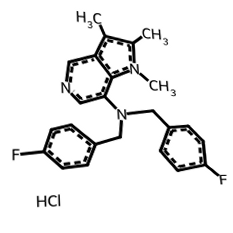 Cc1c(C)n(C)c2c(N(Cc3ccc(F)cc3)Cc3ccc(F)cc3)cncc12.Cl